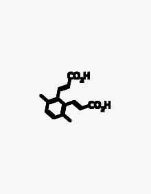 Cc1ccc(C)c(C=CC(=O)O)c1C=CC(=O)O